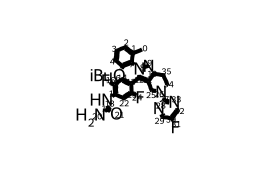 Cc1cccc(OCC(C)C)c1-n1nc2c(c1-c1cc(F)c(NC(N)=O)cc1F)CN(c1ncc(F)cn1)CC2